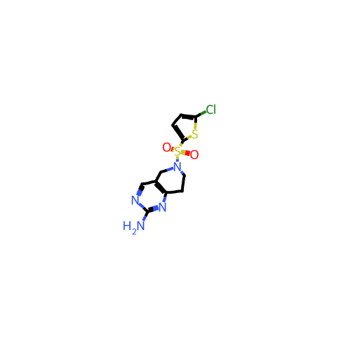 Nc1ncc2c(n1)CCN(S(=O)(=O)c1ccc(Cl)s1)C2